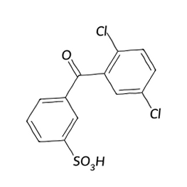 O=C(c1cccc(S(=O)(=O)O)c1)c1cc(Cl)ccc1Cl